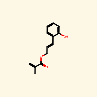 C=C(C)C(=O)OCC=Cc1ccccc1O